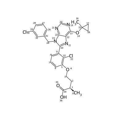 C[C@H](CCOc1cccc(-c2nc3c(OC4(C)CC4)ncnc3n2Cc2cccc(Cl)c2)c1Cl)C(=O)O